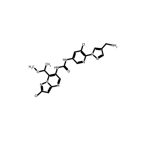 COC(C)c1c(NC(=O)Nc2cnc(-n3cc(CN)cn3)c(Cl)c2)cnc2cc(Cl)nn12